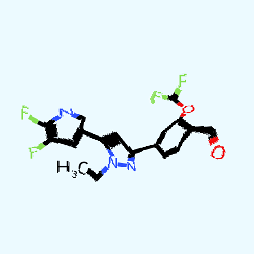 CCn1nc(-c2ccc(C=O)c(OC(F)F)c2)cc1-c1cnc(F)c(F)c1